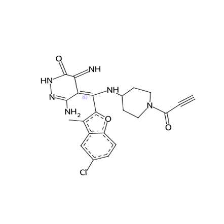 C#CC(=O)N1CCC(N/C(=C2\C(=N)C(=O)NN=C2N)c2oc3ccc(Cl)cc3c2C)CC1